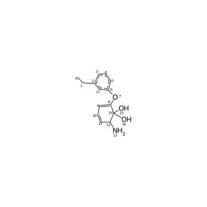 CCc1cccc(OC2=CC=CC(N)C2(O)O)c1